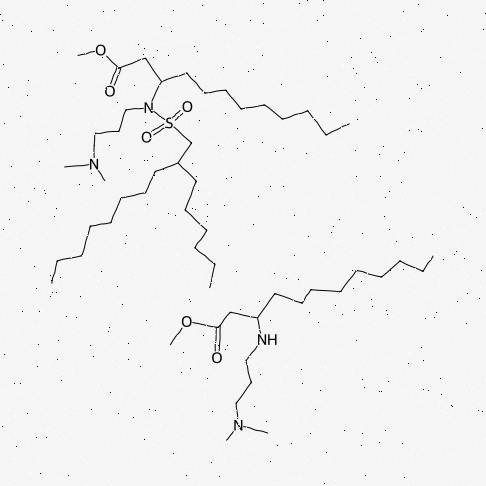 CCCCCCCCCC(CC(=O)OC)N(CCCN(C)C)S(=O)(=O)CC(CCCCCC)CCCCCCCC.CCCCCCCCCC(CC(=O)OC)NCCCN(C)C